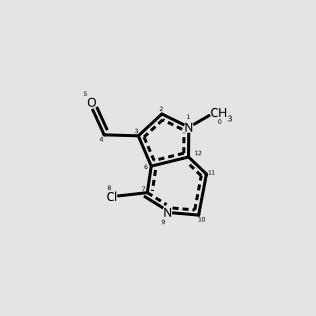 Cn1cc(C=O)c2c(Cl)nccc21